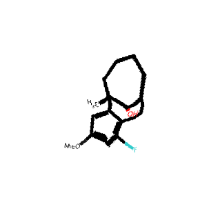 COc1cc(F)c2c(c1)C1(C)CCCCC(C2)C1O